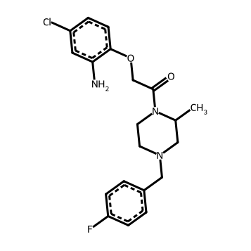 CC1CN(Cc2ccc(F)cc2)CCN1C(=O)COc1ccc(Cl)cc1N